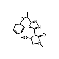 CC(Oc1ccccc1)c1nnc(N2C(=O)N(C)CC2O)s1